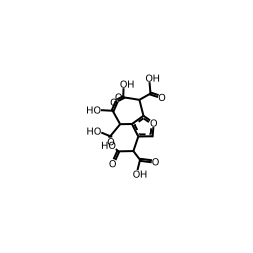 O=C(O)C(C(=O)O)c1coc(C(C(=O)O)C(=O)O)c1C(C(=O)O)C(=O)O